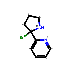 BrC1(c2ccccn2)CCCN1